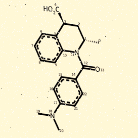 C[C@H]1C[C@H](C(=O)O)c2ccccc2N1C(=O)c1ccc(N(C)C)cc1